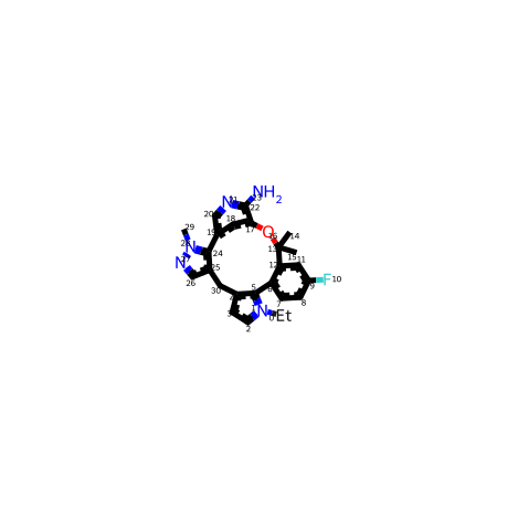 CCn1ccc2c1-c1ccc(F)cc1C(C)(C)Oc1cc(cnc1N)-c1c(cnn1C)C2